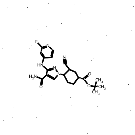 CC(C)(C)OC(=O)C1CCC(n2cc(C(N)=O)c(Nc3ccnc(F)c3)n2)C(C#N)C1